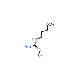 COCCCNC(N)=NC#N